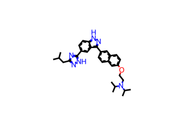 CC(C)Cc1n[nH]c(-c2ccc3[nH]nc(-c4ccc5cc(OCCN(C(C)C)C(C)C)ccc5c4)c3c2)n1